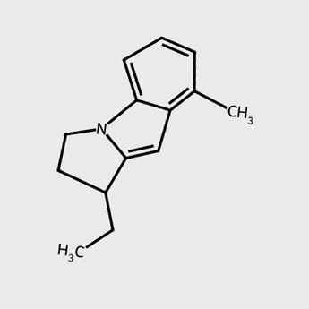 CCC1CCn2c1cc1c(C)cccc12